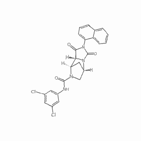 O=C1[C@H]2[C@H]3C[C@@H](CN3C(=O)Nc3cc(Cl)cc(Cl)c3)N2C(=O)N1c1cccc2ccccc12